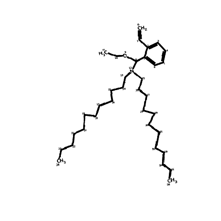 C=Cc1ccccc1C(OCC)N(CCCCCCCCCCCC)CCCCCCCCCCCC